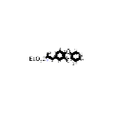 CCOC(=O)/C(C)=C/c1ccc(Oc2cccnc2)c(C(F)(F)F)c1